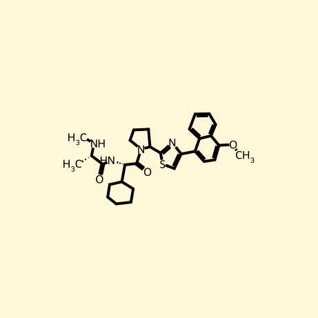 CN[C@@H](C)C(=O)N[C@H](C(=O)N1CCCC1c1nc(-c2ccc(OC)c3ccccc23)cs1)C1CCCCC1